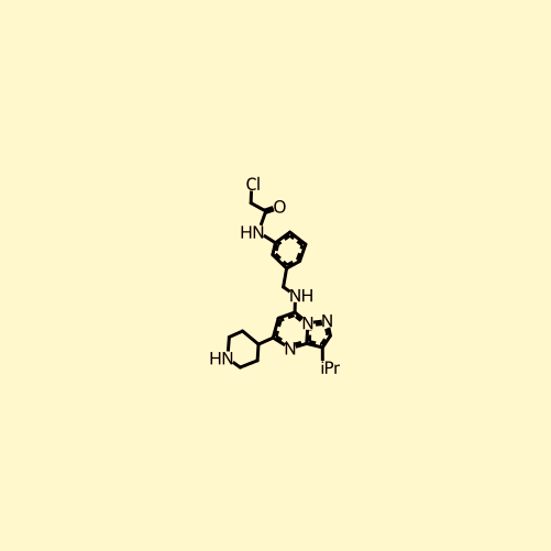 CC(C)c1cnn2c(NCc3cccc(NC(=O)CCl)c3)cc(C3CCNCC3)nc12